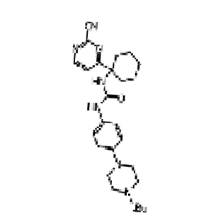 CC(C)(C)N1CCN(c2ccc(NC(=O)NC3(c4ccnc(C#N)n4)CCCCC3)cc2)CC1